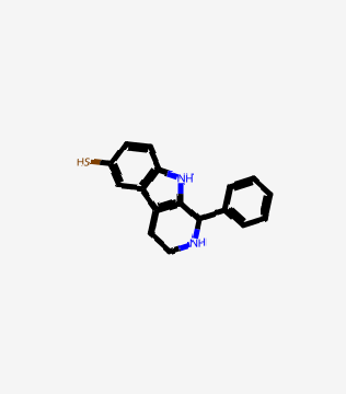 Sc1ccc2[nH]c3c(c2c1)CCNC3c1ccccc1